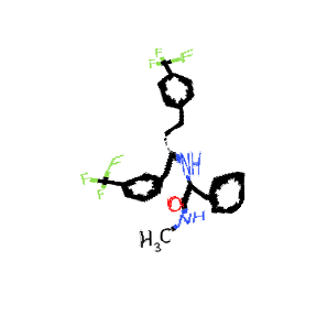 CNC(=O)C(N[C@@H](CCc1ccc(C(F)(F)F)cc1)c1cccc(C(F)(F)F)c1)c1ccccc1